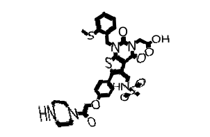 CSc1ccccc1Cn1c(=O)n(CC(=O)O)c(=O)c2c(CNS(C)(=O)=O)c(-c3ccc(OCC(=O)N4CCNCC4)cc3)sc21